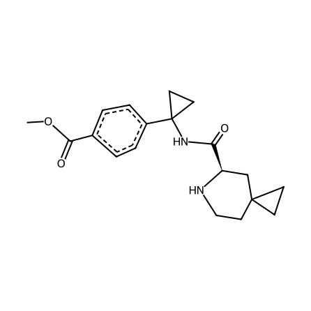 COC(=O)c1ccc(C2(NC(=O)[C@H]3CC4(CCN3)CC4)CC2)cc1